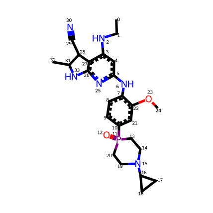 CCNc1cc(Nc2ccc(P3(=O)CCN(C4CC4)CC3)cc2OC)nc2c1C(C#N)C(C)N2